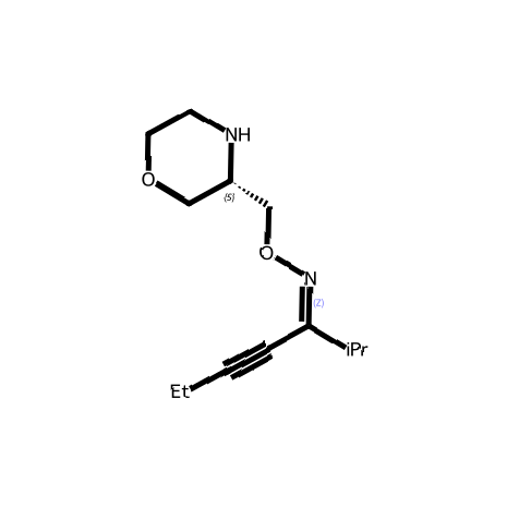 CCC#C/C(=N\OC[C@@H]1COCCN1)C(C)C